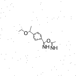 CCOC(C)c1ccc(C(=N)OC(C)=N)cc1